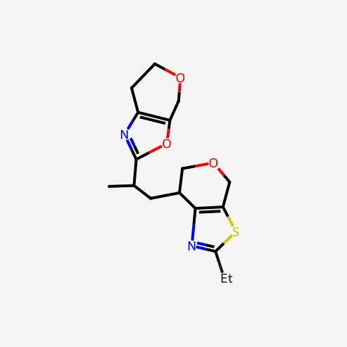 CCc1nc2c(s1)COCC2CC(C)c1nc2c(o1)COCC2